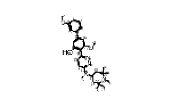 COc1cccc(-c2cc(O)c(-c3ccc(N(C)C4CC(C)(C)N(C)C(C)(C)C4)nn3)c(OC)c2)c1